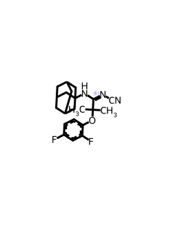 CC(C)(Oc1ccc(F)cc1F)/C(=N\C#N)NC12CC3CC(CC(C3)C1)C2